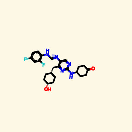 O=C1CCC(Nc2ncc(/N=C/Nc3ccc(F)cc3F)c(C[C@H]3CC[C@@H](O)CC3)n2)CC1